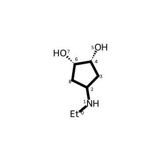 CCNC1C[C@@H](O)[C@@H](O)C1